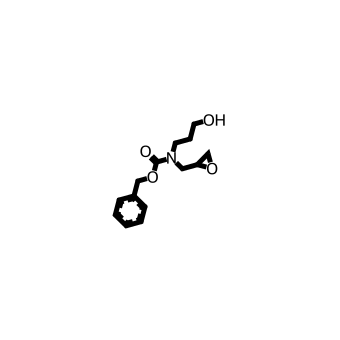 O=C(OCc1ccccc1)N(CCCO)CC1CO1